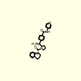 N[C@@H](c1ccc(C(=O)Nc2ccncc2)cc1)C1CCCN1C(=O)[C@@H]1CCCc2ccccc21